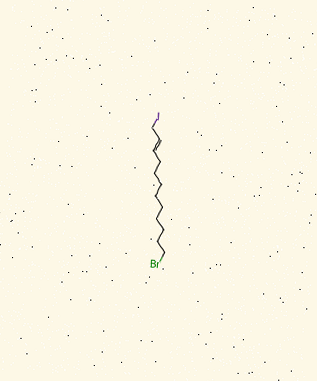 BrCCCCCCCCCC=CCI